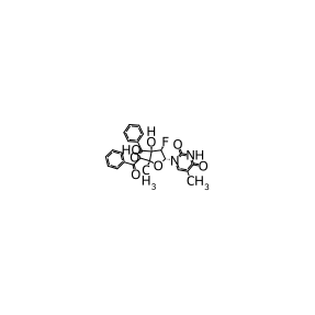 Cc1cn([C@@H]2O[C@](C)(C(O)C(=O)c3ccccc3)[C@](O)(C(=O)c3ccccc3)[C@H]2F)c(=O)[nH]c1=O